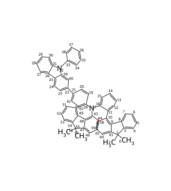 CC1(C)c2ccccc2-c2c(-c3ccccc3N(c3ccc(-c4ccc5c6ccccc6n(-c6ccccc6)c5c4)cc3)c3cccc4c3-c3ccccc3C4(C)C)cccc21